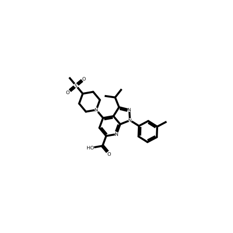 Cc1cccc(-n2nc(C(C)C)c3c(N4CCC(S(C)(=O)=O)CC4)cc(C(=O)O)nc32)c1